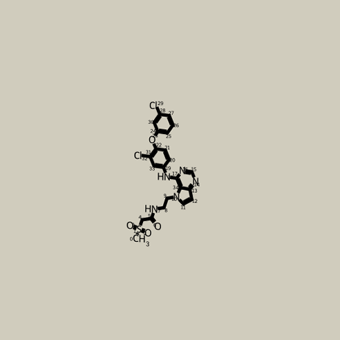 CS(=O)(=O)CC(=O)NCCn1ccc2ncnc(Nc3ccc(Oc4cccc(Cl)c4)c(Cl)c3)c21